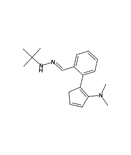 CN(C)C1=C(c2ccccc2C=NNC(C)(C)C)CC=C1